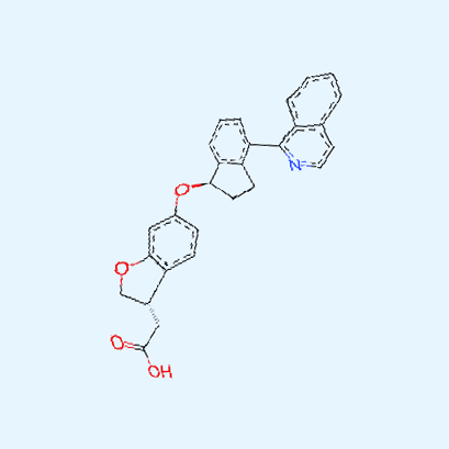 O=C(O)C[C@@H]1COc2cc(O[C@@H]3CCc4c(-c5nccc6ccccc56)cccc43)ccc21